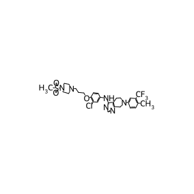 Cc1ccc(N2CCc3c(ncnc3Nc3ccc(OCCCN4CCN(S(C)(=O)=O)CC4)c(Cl)c3)C2)cc1C(F)(F)F